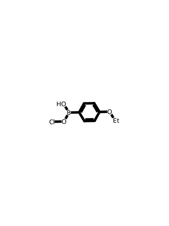 CCOc1ccc(B(O)OCl)cc1